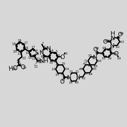 COc1cc2nc(C)nc(N[C@H](C)c3cc(-c4ccccc4CCC(=O)O)cs3)c2cc1C1CCC(C(=O)N2CCN(CC3CCC4(CC3)CCN(C(=O)c3ccc(OC)c(N5CCC(=O)NC5=O)c3)CC4)CC2)CC1